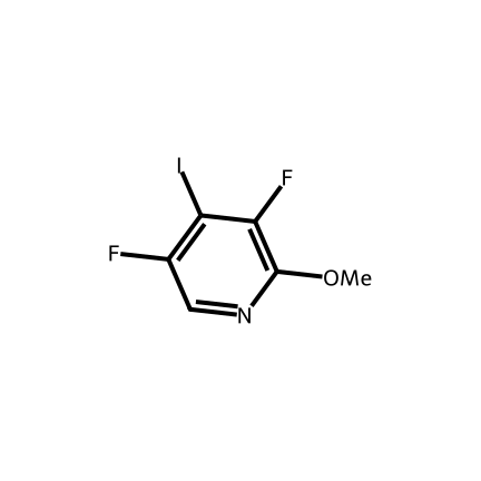 COc1ncc(F)c(I)c1F